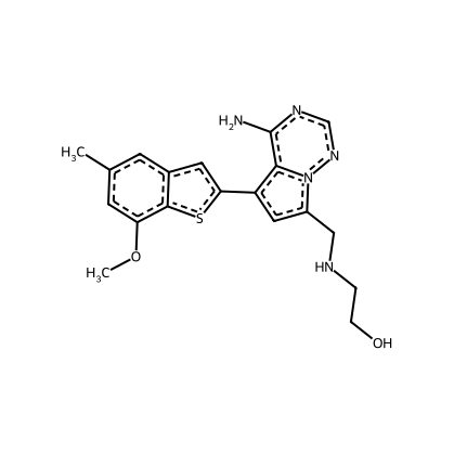 COc1cc(C)cc2cc(-c3cc(CNCCO)n4ncnc(N)c34)sc12